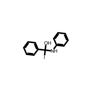 OC(I)(Nc1ccccc1)c1ccccc1